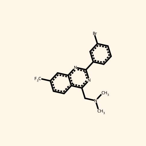 CN(C)Cc1nc(-c2cccc(Br)c2)nc2cc(C(F)(F)F)ccc12